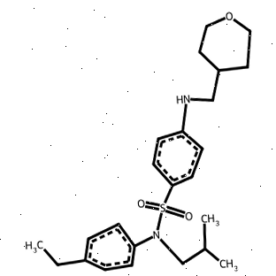 CCc1ccc(N(CC(C)C)S(=O)(=O)c2ccc(NCC3CCOCC3)cc2)cc1